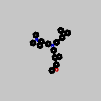 c1ccc(N(c2ccccc2)c2ccc(-c3ccc(N(c4ccc(-c5ccc6c7ccccc7c7ccccc7c6c5)cc4)c4ccc(-c5ccc(-c6ccc7oc8ccccc8c7c6)c6ccccc56)cc4)cc3)c3ccccc23)cc1